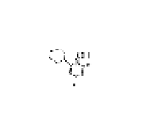 C=C1C=C(C)C=C(C2CCCCC2)N1O